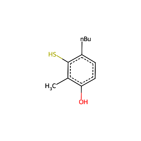 CCCCc1ccc(O)c(C)c1S